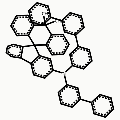 CC1(C)c2ccccc2C2(c3ccccc3-c3ccc(N(c4cccc(-c5ccccc5)c4)c4cccc(-c5cccc(-c6ccccc6)c5)c4)cc32)c2ccccc21